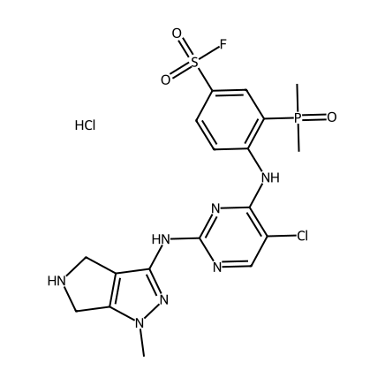 Cl.Cn1nc(Nc2ncc(Cl)c(Nc3ccc(S(=O)(=O)F)cc3P(C)(C)=O)n2)c2c1CNC2